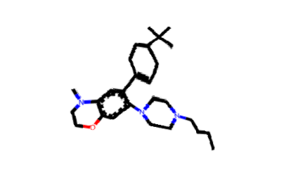 CCCCN1CCN(c2cc3c(cc2C2=CCC(C(C)(C)C)CC2)N(C)CCO3)CC1